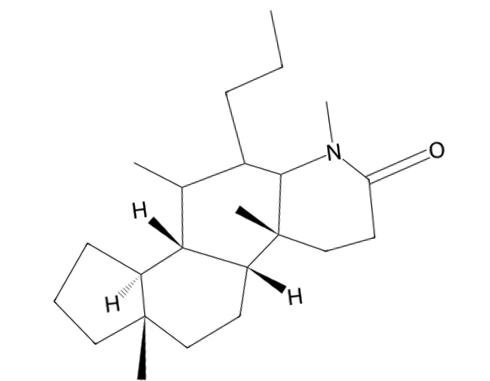 CCCC1C(C)[C@@H]2[C@@H](CC[C@]3(C)CCC[C@@H]23)[C@@]2(C)CCC(=O)N(C)C12